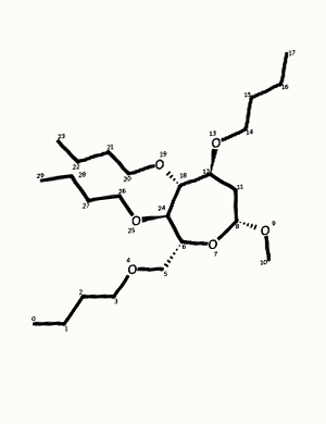 CCCCOC[C@H]1O[C@@H](OC)C[C@H](OCCCC)[C@@H](OCCCC)[C@@H]1OCCCC